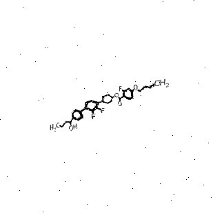 C=CCCOc1ccc(C(=O)OC2CCC(c3ccc(-c4ccc(C(O)CCC)cc4)c(F)c3F)CC2)c(F)c1